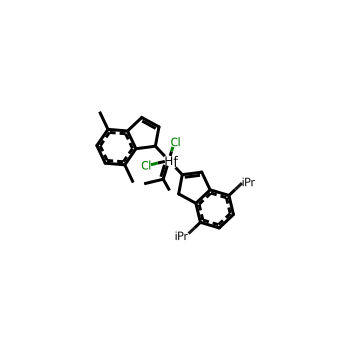 C[C](C)=[Hf]([Cl])([Cl])([C]1=Cc2c(C(C)C)ccc(C(C)C)c2C1)[CH]1C=Cc2c(C)ccc(C)c21